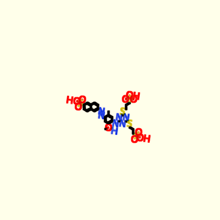 COc1cc(N=Nc2ccc3cc(S(=O)(=O)O)ccc3c2)c(C)cc1Nc1nc(SCCCS(=O)(=O)O)nc(SCCCS(=O)(=O)O)n1